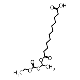 CCOC(=O)OC(C)OC(=O)CCCCCCCCCCC(=O)O